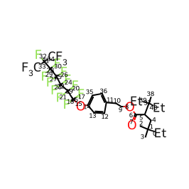 CCC(C)(C)CC(C(=O)OCCc1ccc(OC(F)(F)C(F)(F)C(F)(F)C(F)(F)C(F)(F)C(F)(C(F)(F)F)C(F)(F)F)cc1)C(C)(CC)CC